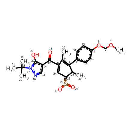 COCOc1ccc(C2=C(C)C(C(=O)c3cnn(C(C)(C)C)c3O)=CC(=S(=O)=O)C2C)cc1